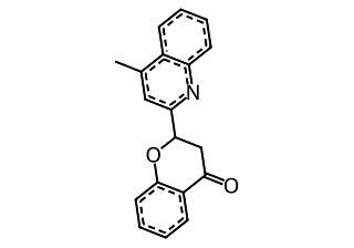 Cc1cc(C2CC(=O)c3ccccc3O2)nc2ccccc12